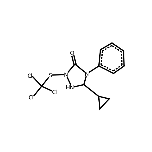 O=C1N(SC(Cl)(Cl)Cl)NC(C2CC2)N1c1ccccc1